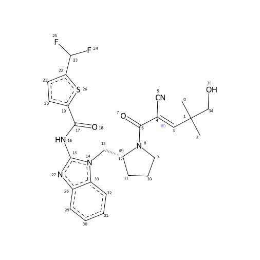 CC(C)(/C=C(\C#N)C(=O)N1CCC[C@@H]1Cn1c(NC(=O)c2ccc(C(F)F)s2)nc2ccccc21)CO